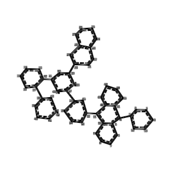 c1ccc(-c2c3ccccc3c(-c3cccc(-c4nc(-c5ccc6ccccc6c5)cc(-c5ccccc5-c5cccnc5)n4)c3)c3ccccc23)cc1